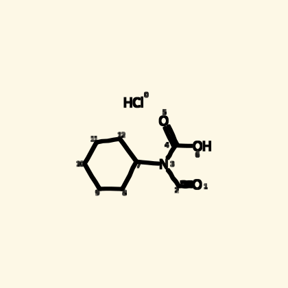 Cl.O=CN(C(=O)O)C1CCCCC1